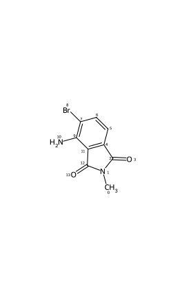 CN1C(=O)c2ccc(Br)c(N)c2C1=O